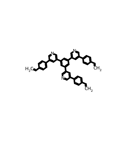 C=Cc1ccc(-c2cncc(-c3cc(-c4cncc(-c5ccc(C=C)cc5)c4)cc(-c4cncc(-c5ccc(C=C)cc5)c4)c3)c2)cc1